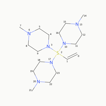 C=CS(N1CCN(C)CC1)(N1CCN(C)CC1)N1CCN(C)CC1